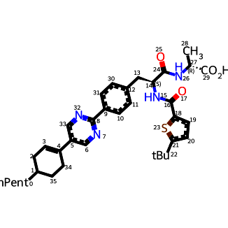 CCCCCC1CC=C(c2cnc(-c3ccc(C[C@H](NC(=O)c4ccc(C(C)(C)C)s4)C(=O)N[C@H](C)C(=O)O)cc3)nc2)CC1